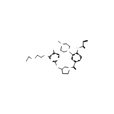 C=CC(=O)Nc1ccc(C(=O)N2CCC(Nc3ncc(Cl)c(OCCOCC)n3)C2)cc1N1CCN(C)CC1